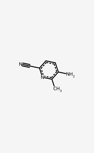 Cc1nc(C#N)ccc1N